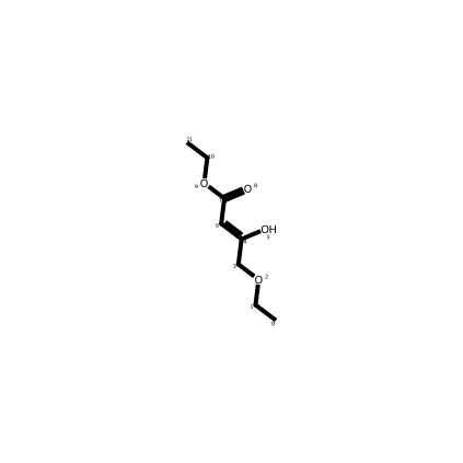 CCOC/C(O)=C/C(=O)OCC